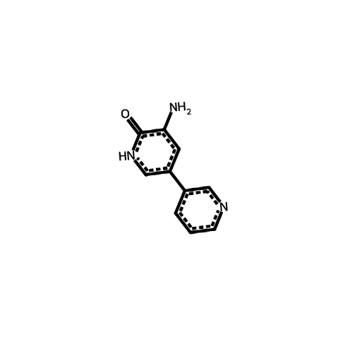 Nc1cc(-c2cccnc2)c[nH]c1=O